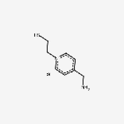 NCc1cc[n+](CCS)cc1.[Br-]